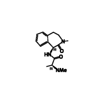 CN[C@@H](C)C(=O)N[C@@H]1C(=O)N(C)CCc2ccccc21